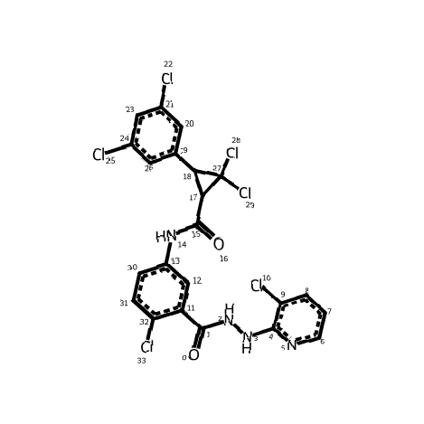 O=C(NNc1ncccc1Cl)c1cc(NC(=O)C2C(c3cc(Cl)cc(Cl)c3)C2(Cl)Cl)ccc1Cl